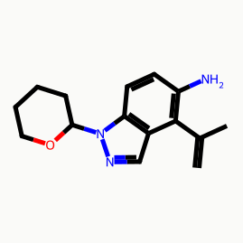 C=C(C)c1c(N)ccc2c1cnn2C1CCCCO1